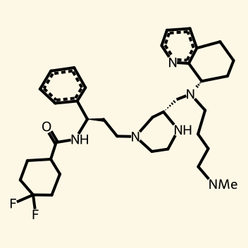 CNCCCCN(C[C@H]1CN(CC[C@@H](NC(=O)C2CCC(F)(F)CC2)c2ccccc2)CCN1)[C@H]1CCCc2cccnc21